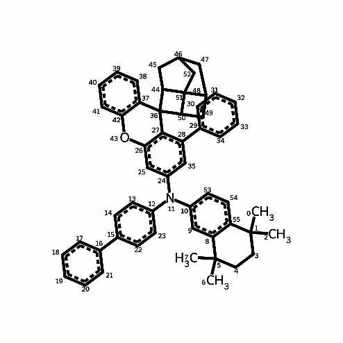 CC1(C)CCC(C)(C)c2cc(N(c3ccc(-c4ccccc4)cc3)c3cc4c(c(-c5ccccc5)c3)C3(c5ccccc5O4)C4CC5CC6CC3C64C5)ccc21